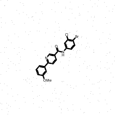 COc1cccc(-c2ccc(C(=O)Nc3ccc(Br)c(Cl)c3)cn2)c1